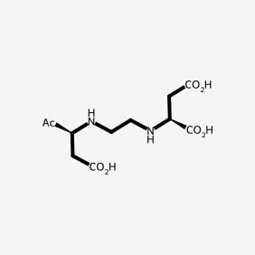 CC(=O)[C@H](CC(=O)O)NCCN[C@@H](CC(=O)O)C(=O)O